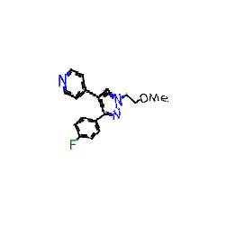 COCCn1cc(-c2ccncc2)c(-c2ccc(F)cc2)n1